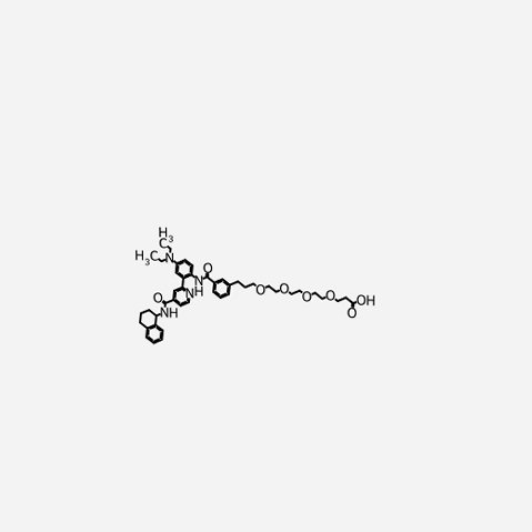 CCN(CC)c1ccc(NC(=O)c2cccc(CCCOCCOCCOCCOCCC(=O)O)c2)c(-c2cc(C(=O)NC3CCCc4ccccc43)ccn2)c1